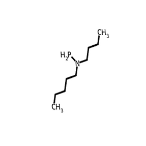 CCCCCN(P)CCCC